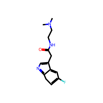 CN(C)CCNC(=O)CC1=CN=C2CC=C(F)C=C12